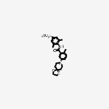 CCOC(=O)c1cc(C)c(NC(=O)c2cc(N3CCC4(CC3)OCCO4)ccc2C)c(C)c1